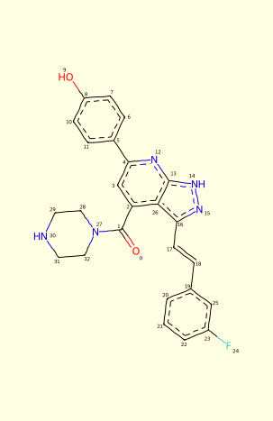 O=C(c1cc(-c2ccc(O)cc2)nc2[nH]nc(C=Cc3cccc(F)c3)c12)N1CCNCC1